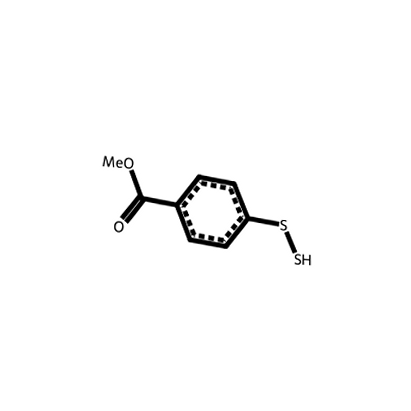 COC(=O)c1ccc(SS)cc1